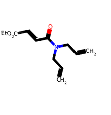 C=CCN(CC=C)C(=O)/C=C/C(=O)OCC